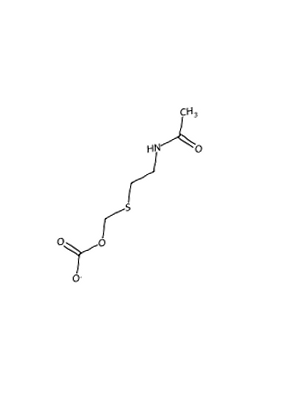 CC(=O)NCCSCOC([O])=O